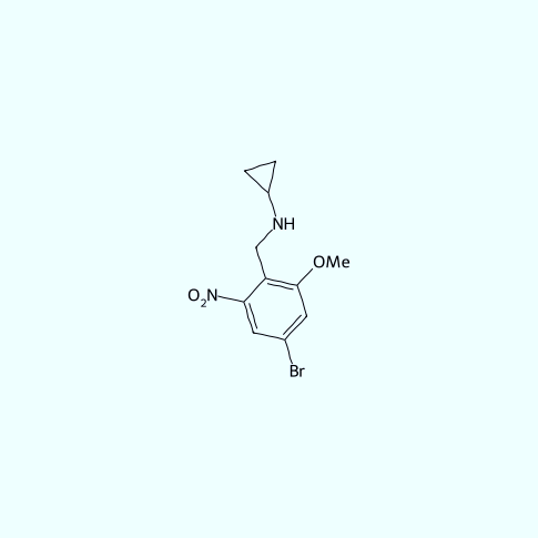 COc1cc(Br)cc([N+](=O)[O-])c1CNC1CC1